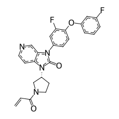 C=CC(=O)N1CC[C@@H](n2c(=O)n(-c3ccc(Oc4cccc(F)c4)c(F)c3)c3cnccc32)C1